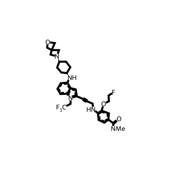 CNC(=O)c1ccc(NCC#Cc2cc3c(N[C@H]4CC[C@@H](N5CC6(COC6)C5)CC4)cccc3n2CC(F)(F)F)c(OCCF)c1